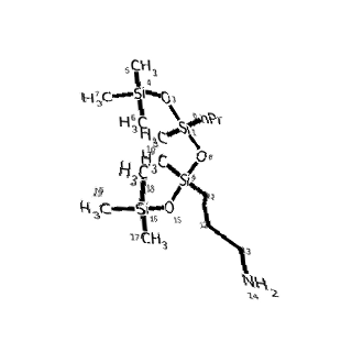 CCC[Si](C)(O[Si](C)(C)C)O[Si](C)(CCCN)O[Si](C)(C)C